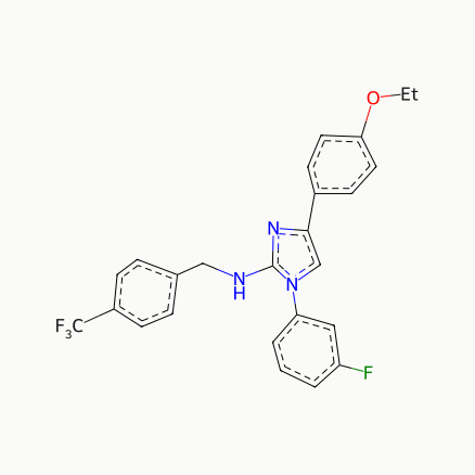 CCOc1ccc(-c2cn(-c3cccc(F)c3)c(NCc3ccc(C(F)(F)F)cc3)n2)cc1